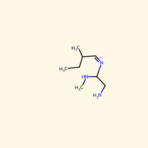 CCC(C)/C=N\C(CN)NC